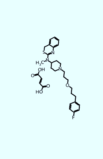 CN(C1=Nc2ccccc2CS1)C1CCN(CCCOCCCc2ccc(F)cc2)CC1.O=C(O)/C=C/C(=O)O